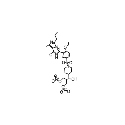 CCCc1nc(C)c2c(=O)[nH]c(-c3cc(S(=O)(=O)N4CCC(C(O)C(CO[N+](=O)[O-])CO[N+](=O)[O-])CC4)ccc3OCC)nn12